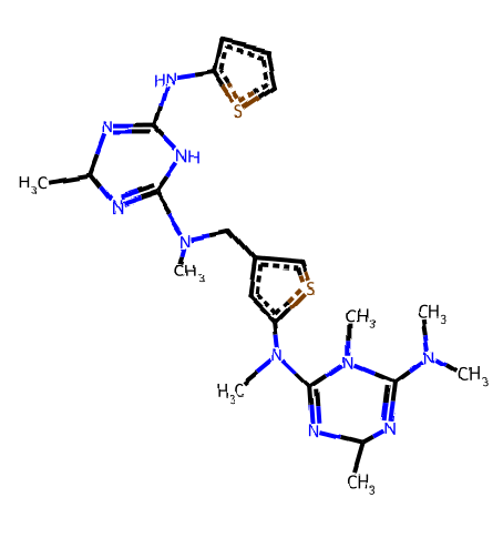 CC1N=C(Nc2cccs2)NC(N(C)Cc2csc(N(C)C3=NC(C)N=C(N(C)C)N3C)c2)=N1